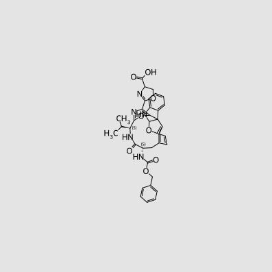 CC(C)[C@@H]1NC(=O)[C@@H](NC(=O)OCc2ccccc2)Cc2ccc3c(c2)C2(c4ccccc4NC2O3)c2oc1nc2C1=NC(C(=O)O)CO1